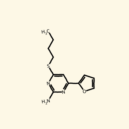 CCCCSc1cc(-c2ccco2)nc(N)n1